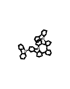 c1ccc2c(c1)c1cccc(-n3c4ccccc4c4ccccc43)c1c1ccccc1n1c3ccc(-n4c5ccccc5c5ccccc54)cc3c3cccc2c31